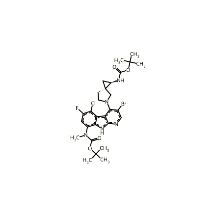 CN(C(=O)OC(C)(C)C)c1cc(F)c(Cl)c2c1[nH]c1ncc(Br)c(N3CC[C@@]4(C[C@H]4NC(=O)OC(C)(C)C)C3)c12